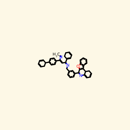 C=N/C(=C\C(=N/Cc1cccc(C2=NC3=CC=CCC3c3c2oc2ccccc32)c1)C1=CC=CCC1)c1ccc(C2C=CC=CC2)cc1